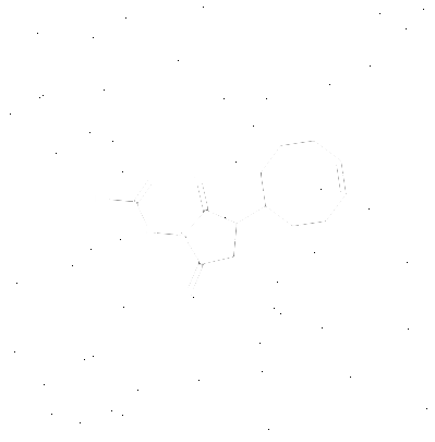 O=C(O)ON1C(=O)CC(C2CCC=CCCC2)C1=O